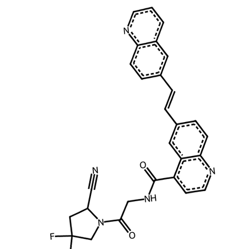 N#CC1CC(F)(F)CN1C(=O)CNC(=O)c1ccnc2ccc(C=Cc3ccc4ncccc4c3)cc12